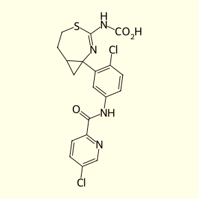 O=C(O)NC1=NC2(c3cc(NC(=O)c4ccc(Cl)cn4)ccc3Cl)CC2CCS1